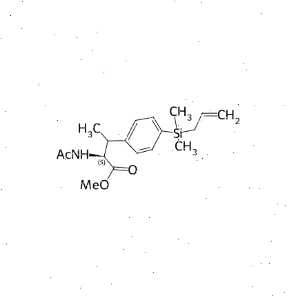 C=CC[Si](C)(C)c1ccc(C(C)[C@H](NC(C)=O)C(=O)OC)cc1